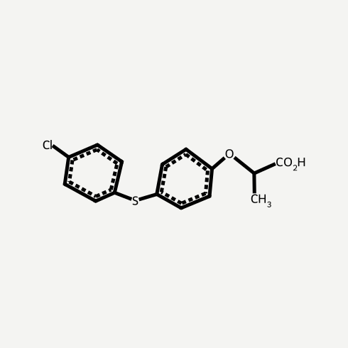 CC(Oc1ccc(Sc2ccc(Cl)cc2)cc1)C(=O)O